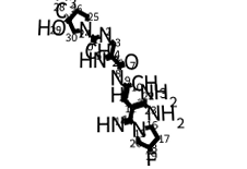 C=C(/N=C\C(=N)C(=O)N/C(C)=C/C(C(=N)N1CCC(F)C1)=C(N)N)N1CCC(C)(O)C1